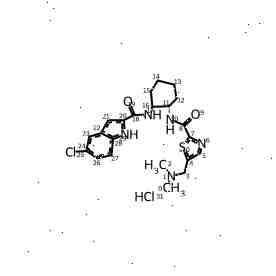 CN(C)Cc1cnc(C(=O)N[C@H]2CCCC[C@H]2NC(=O)c2cc3cc(Cl)ccc3[nH]2)s1.Cl